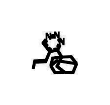 CC=Cc1cnnnc1C12CC3CC(CC(C3)C1)C2